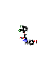 COc1ccc(CC(C)(C)NC[C@@H](O)COc2cccc(Cl)c2Cl)cc1